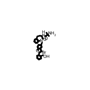 CC(C)(N)C(=O)N[C@@H]1CCc2ccccc2N(Cc2ccc3oc(-c4ccccc4CO)c(Br)c3c2)C1=O